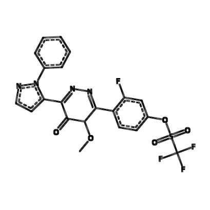 COC1C(=O)C(c2ccnn2-c2ccccc2)=NN=C1c1ccc(OS(=O)(=O)C(F)(F)F)cc1F